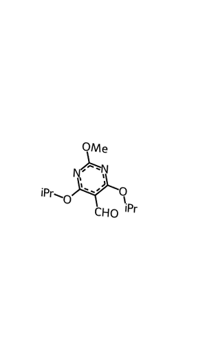 COc1nc(OC(C)C)c(C=O)c(OC(C)C)n1